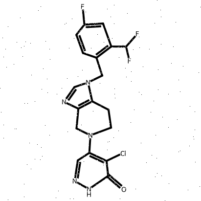 O=c1[nH]ncc(N2CCc3c(ncn3Cc3ccc(F)cc3C(F)F)C2)c1Cl